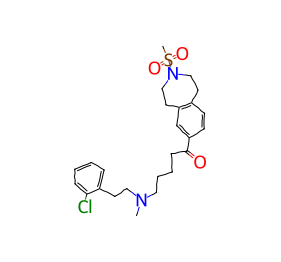 CN(CCCCC(=O)c1ccc2c(c1)CCN(S(C)(=O)=O)CC2)CCc1ccccc1Cl